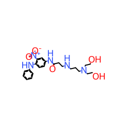 O=C(CCNCCCN(CCO)CCO)Nc1ccc(Nc2ccccc2)c([N+](=O)[O-])c1